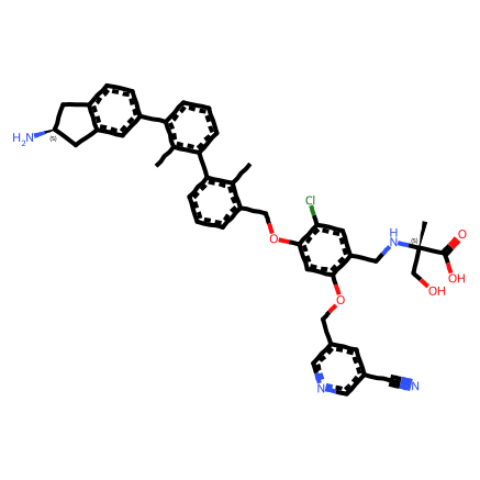 Cc1c(COc2cc(OCc3cncc(C#N)c3)c(CN[C@@](C)(CO)C(=O)O)cc2Cl)cccc1-c1cccc(-c2ccc3c(c2)C[C@@H](N)C3)c1C